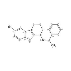 CC(NC1CCCc2c1[nH]c1ccc(Br)cc21)c1ccccc1